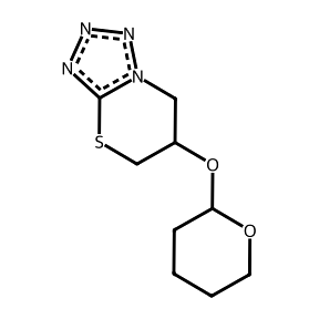 C1CCC(OC2CSc3nnnn3C2)OC1